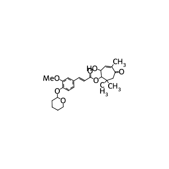 COc1cc(C=CC(=O)OC2C(O)C=C(C)C(=O)CC2(C)C)ccc1OC1CCCCO1